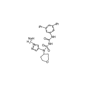 CC(C)c1cc(NC(=O)NS(=O)(=O)N(c2cnn(C)c2)C2CCOCC2)cc(C(C)C)c1.[NaH]